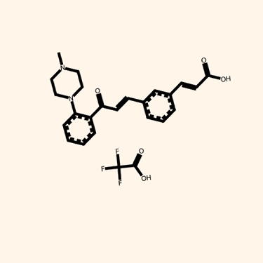 CN1CCN(c2ccccc2C(=O)C=Cc2cccc(C=CC(=O)O)c2)CC1.O=C(O)C(F)(F)F